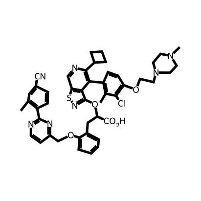 Cc1cc(C#N)ccc1-c1nccc(COc2ccccc2CC(Oc2nsc3cnc(C4CCC4)c(-c4ccc(OCCN5CCN(C)CC5)c(Cl)c4C)c23)C(=O)O)n1